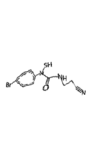 N#CCCNC(=O)N(S)c1ccc(Br)cc1